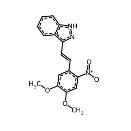 COc1cc(C=Cc2n[nH]c3ccccc23)c([N+](=O)[O-])cc1OC